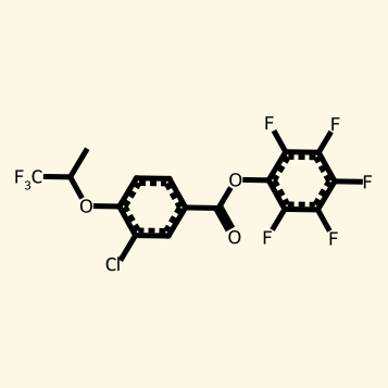 CC(Oc1ccc(C(=O)Oc2c(F)c(F)c(F)c(F)c2F)cc1Cl)C(F)(F)F